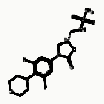 CS(=O)(=O)NC[C@H]1CN(c2cc(F)c(N3CCOCC3)c(F)c2)C(=O)O1